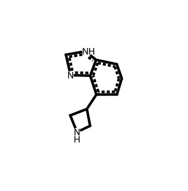 c1cc(C2CNC2)c2nc[nH]c2c1